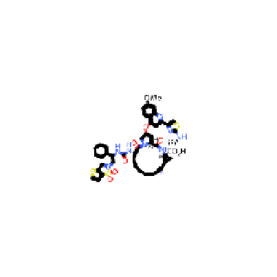 COc1ccc2c(O[C@@H]3C[C@H]4C(=O)N[C@]5(C(=O)O)CC5/C=C\CCCCC[C@H](NC(=O)NC(CN5Cc6sccc6S5(=O)=O)C5CCCCC5)C(=O)N4C3)cc(-c3csc(NC(C)C)n3)nc2c1